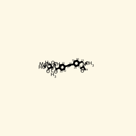 CNC(=O)[C@@](C)(C(=O)NO)N(C)C(=O)c1ccc(C#Cc2ccc(CN(C)C3COC3)cc2)cc1